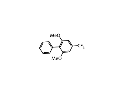 COc1cc(C(F)(F)F)cc(OC)c1-c1ccccc1